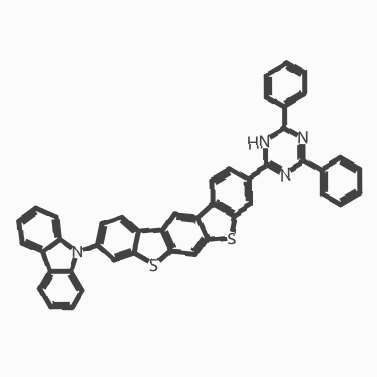 c1ccc(C2=NC(c3ccccc3)NC(c3ccc4c(c3)sc3cc5sc6cc(-n7c8ccccc8c8ccccc87)ccc6c5cc34)=N2)cc1